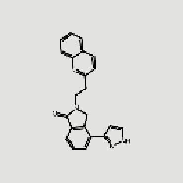 O=C1c2cccc(-c3cc[nH]n3)c2CN1CCc1ccc2ccccc2n1